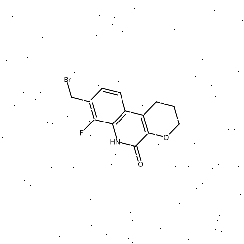 O=c1[nH]c2c(F)c(CBr)ccc2c2c1OCCC2